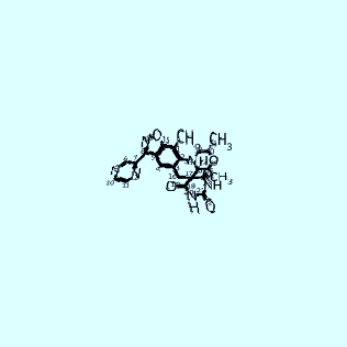 Cc1c2c(cc3c(-c4cnccn4)noc13)CC1(C(=O)NC(=O)NC1=O)[C@@H]1[C@@H](C)O[C@@H](C)CN21